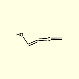 C=C=C=CO